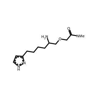 CNC(=O)COCC(N)CCCCc1cc[nH]n1